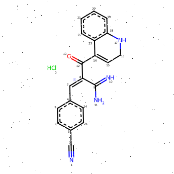 Cl.N#Cc1ccc(/C=C(\C(=N)N)C(=O)C2=CCNc3ccccc32)cc1